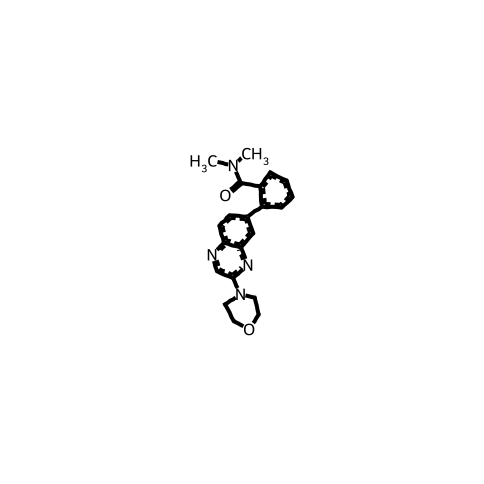 CN(C)C(=O)c1ccccc1-c1ccc2ncc(N3CCOCC3)nc2c1